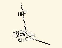 CCCCCCCCCCCCCCC(O)C(O)C(CO[C@H]1O[C@H](CO)[C@H](O)[C@H](O)[C@H]1O)NC(=O)CCCCCCCCCCCNC(=O)CCCCCC